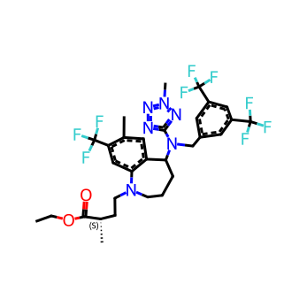 CCOC(=O)[C@@H](C)CCN1CCCC(N(Cc2cc(C(F)(F)F)cc(C(F)(F)F)c2)c2nnn(C)n2)c2cc(C)c(C(F)(F)F)cc21